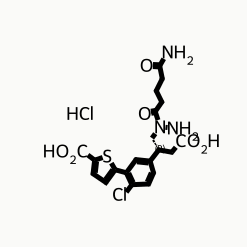 Cl.NC(=O)CCCC(=O)N(N)C[C@H](CC(=O)O)c1ccc(Cl)c(-c2ccc(C(=O)O)s2)c1